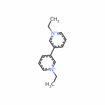 CC[n+]1cccc(-c2ccc[n+](CC)c2)c1